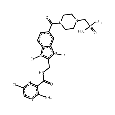 CCn1c(CNC(=O)c2nc(Cl)cnc2N)[n+](CC)c2cc(C(=O)N3CCN(CP(C)(C)=O)CC3)ccc21